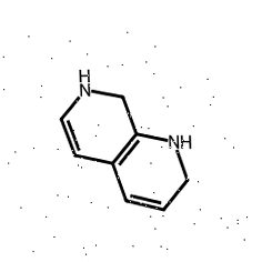 C1=CC2=C(CNC=C2)NC1